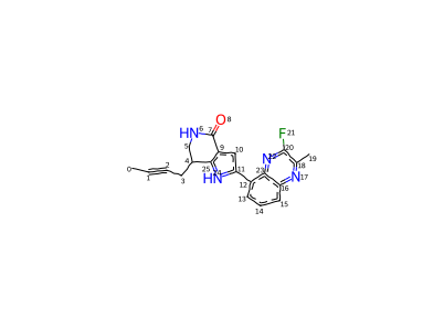 CC#CCC1CNC(=O)c2cc(-c3cccc4nc(C)c(F)nc34)[nH]c21